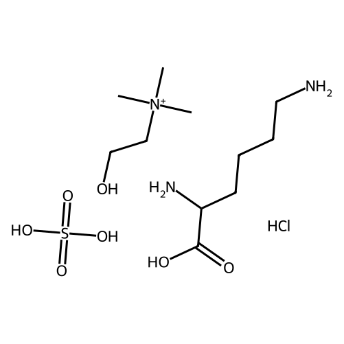 C[N+](C)(C)CCO.Cl.NCCCCC(N)C(=O)O.O=S(=O)(O)O